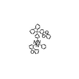 c1ccc(-c2nc(-c3ccc(C4(c5ccc6c(c5)Oc5ccccc5O6)c5ccccc5-c5ccccc54)cc3)nc(-c3cccc4oc5ccccc5c34)n2)cc1